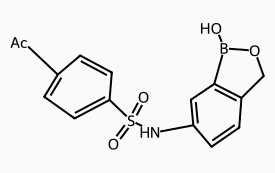 CC(=O)c1ccc(S(=O)(=O)Nc2ccc3c(c2)B(O)OC3)cc1